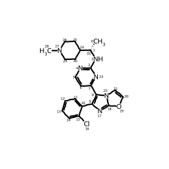 C[C@H](Nc1nccc(-c2c(-c3ccccc3Cl)nc3occn23)n1)C1CCN(C)CC1